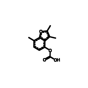 Cc1oc2c(C)ccc(OC(=O)O)c2c1C